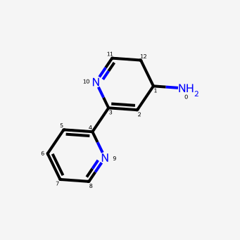 NC1C=C(c2ccccn2)N=CC1